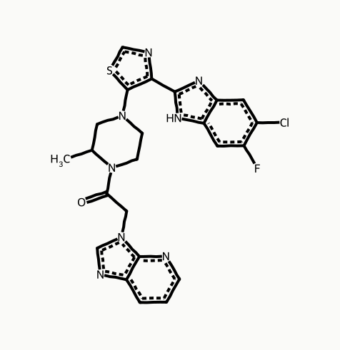 CC1CN(c2scnc2-c2nc3cc(Cl)c(F)cc3[nH]2)CCN1C(=O)Cn1cnc2cccnc21